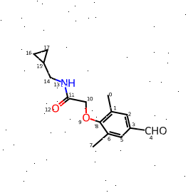 Cc1cc(C=O)cc(C)c1OCC(=O)NCC1CC1